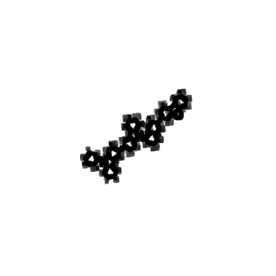 c1ccc(-n2c3ccccc3c3cc(-c4ccc5c(c4)c4ccccc4n5-c4cccc5cc(-c6ccc7c(c6)oc6ccccc67)ccc45)ccc32)cc1